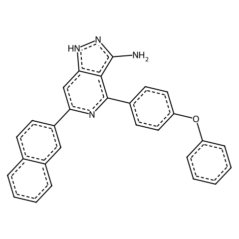 Nc1n[nH]c2cc(-c3ccc4ccccc4c3)nc(-c3ccc(Oc4ccccc4)cc3)c12